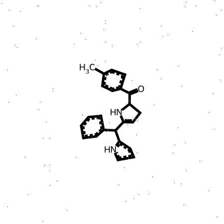 Cc1ccc(C(=O)C2CC=C(C(c3ccccc3)c3ccc[nH]3)N2)cc1